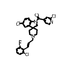 O=C(c1ccnc(Cl)c1)N1CC2(CCN(C/C=C/c3c(F)cccc3Cl)CC2)c2cc(Cl)ccc21